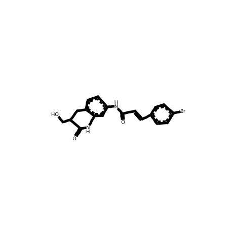 O=C(/C=C/c1ccc(Br)cc1)Nc1ccc2c(c1)NC(=O)C(CO)C2